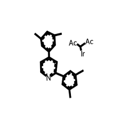 CC(=O)[CH]([Ir])C(C)=O.Cc1cc(C)cc(-c2ccnc(-c3cc(C)cc(C)c3)c2)c1